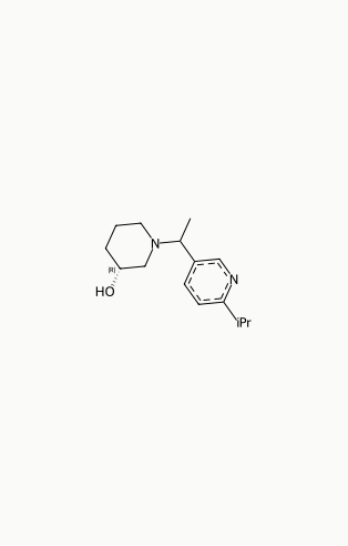 CC(C)c1ccc(C(C)N2CCC[C@@H](O)C2)cn1